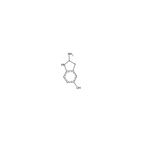 N[C]1Nc2ccc(O)cc2S1